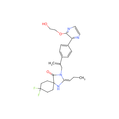 C=C(CN1C(=O)C2(CCC(F)(F)CC2)NC1=CCC)c1ccc(-c2nccnc2OCCO)cc1